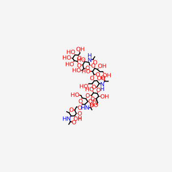 CC(=O)NC1[C@H](O[C@@H]2C(O)[C@H](O[C@@H]3C(CO)O[C@@H](O[C@@H]4C(O)[C@H](O[C@@H]5C(CO)O[C@@H](OCC6OC(C)C(NC(C)=O)[C@@H](O)[C@H]6O)C(NC(C)=O)[C@H]5O)OC(CO)[C@@H]4O)C(NC(C)=O)[C@H]3O)OC(CO)[C@@H]2O)OC(CO)[C@@H](O[C@@H]2OC(CO)[C@H](O)[C@H](O)C2O)[C@@H]1O